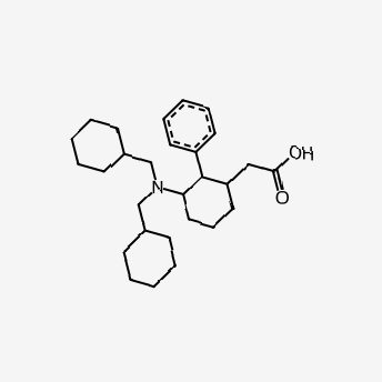 O=C(O)CC1CCCC(N(CC2CCCCC2)CC2CCCCC2)C1c1ccccc1